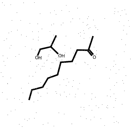 CC(O)CO.CCCCCCCCC(C)=O